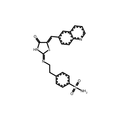 NS(=O)(=O)c1ccc(CC/N=C2/NC(=O)/C(=C/c3ccc4ncccc4c3)S2)cc1